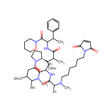 CCC(C)C(C(CC(=O)N1CCC[C@H]1C(OC)C(C)C(=O)NC(C(=O)N1CCCCO1)C(C)c1ccccc1)OC)N(C)C(=O)C(NC(=O)C(C(C)C)N(C)CCCCCCN1C(=O)C=CC1=O)C(C)C